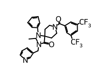 CC1N(Cc2cccnc2)C(=O)C2(CCN(C(=O)c3cc(C(F)(F)F)cc(C(F)(F)F)c3)CC2)N1c1ccccc1